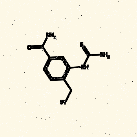 CC(C)Cc1ccc(C(N)=O)cc1NC(N)=S